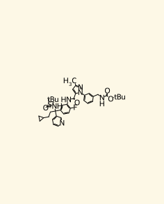 Cc1cc(C(=O)Nc2cc(C(CCC3CC3)(N[S@@+]([O-])C(C)(C)C)c3cccnc3)ccc2F)n(-c2cccc(CNC(=O)OC(C)(C)C)c2)n1